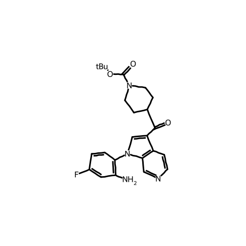 CC(C)(C)OC(=O)N1CCC(C(=O)c2cn(-c3ccc(F)cc3N)c3cnccc23)CC1